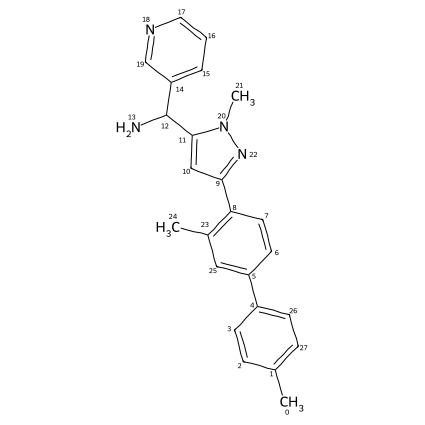 Cc1ccc(-c2ccc(-c3cc(C(N)c4cccnc4)n(C)n3)c(C)c2)cc1